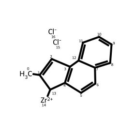 CC1=Cc2c(ccc3ccccc23)[CH]1[Zr+2].[Cl-].[Cl-]